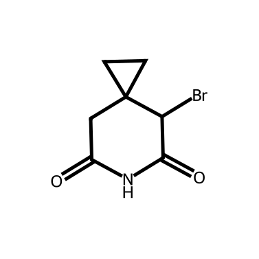 O=C1CC2(CC2)C(Br)C(=O)N1